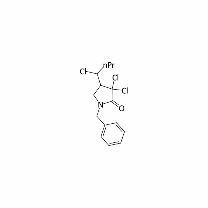 CCCC(Cl)C1CN(Cc2ccccc2)C(=O)C1(Cl)Cl